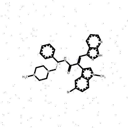 CN1CCN(C[C@@H](NC(=O)/C(=C/c2n[nH]c3ncccc23)c2cn(C)c3ccc(Br)cc23)c2ccccc2)CC1